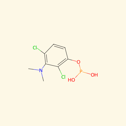 CN(C)c1c(Cl)ccc(OP(O)O)c1Cl